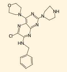 Clc1nc2c(N3CCOCC3)nc(N3CCNCC3)nc2nc1NCc1ccccc1